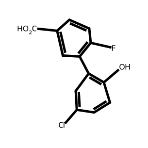 O=C(O)c1ccc(F)c(-c2cc(Cl)ccc2O)c1